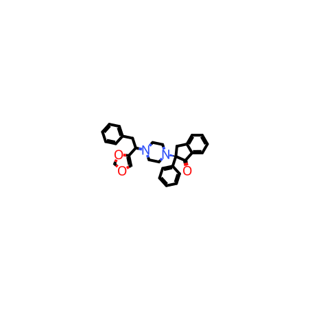 O=C1c2ccccc2C[C@]1(c1ccccc1)N1CCN(C(Cc2ccccc2)C2=COCO2)CC1